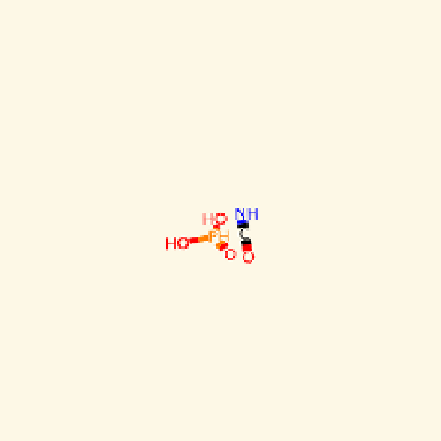 N=C=O.O=[PH](O)O